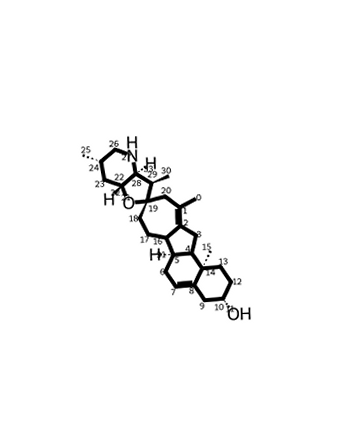 CC1=C2CC3[C@@H](CC=C4C[C@@H](O)CC[C@@]43C)C2CC[C@@]2(C1)O[C@@H]1C[C@H](C)CN[C@H]1[C@H]2C